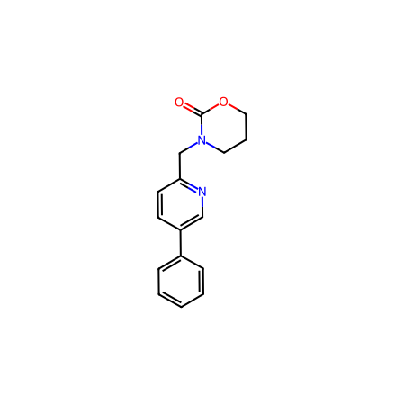 O=C1OCCCN1Cc1ccc(-c2ccccc2)cn1